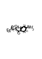 CCN(CC)CC(O)C(=O)c1ccc(N)cc1